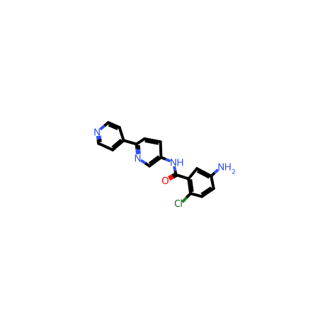 Nc1ccc(Cl)c(C(=O)Nc2ccc(-c3ccncc3)nc2)c1